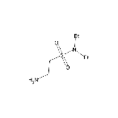 CCN(CC)S(=O)(=O)CCN